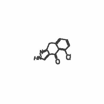 O=C1c2c[nH]nc2Cc2cccc(Cl)c21